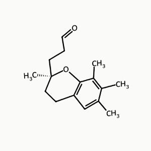 Cc1cc2c(c(C)c1C)O[C@](C)(CCC=O)CC2